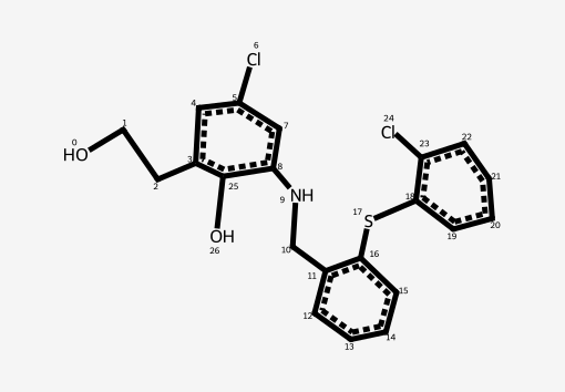 OCCc1cc(Cl)cc(NCc2ccccc2Sc2ccccc2Cl)c1O